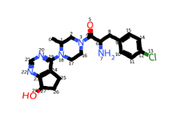 CC1CN(C(=O)C(N)Cc2ccc(Cl)cc2)CCN1c1ncnc2c1CCC2O